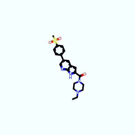 CCN1CCN(C(=O)c2cc3cc(-c4ccc(S(C)(=O)=O)cc4)cnc3[nH]2)CC1